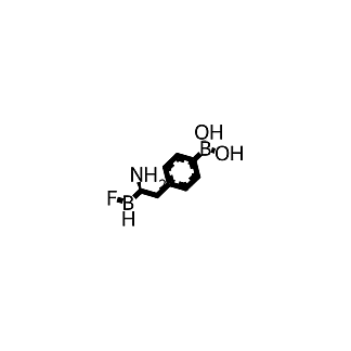 N[C@H](BF)Cc1ccc(B(O)O)cc1